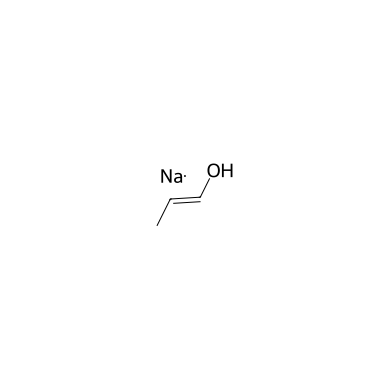 CC=CO.[Na]